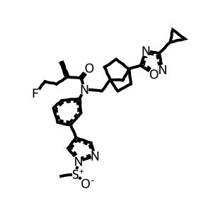 C=C(CCF)C(=O)N(CC12CCC(c3nc(C4CC4)no3)(CC1)C2)c1cccc(-c2cnn([S+](C)[O-])c2)c1